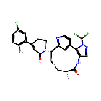 C[C@@H]1CCC[C@H](N2CCC(c3cc(Cl)ccc3C#N)=CC2=O)c2cc(ccn2)-c2c(cnn2C(F)F)NC1=O